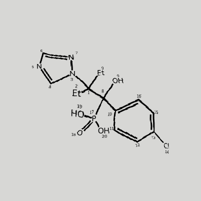 CCC(CC)(n1cncn1)C(O)(c1ccc(Cl)cc1)P(=O)(O)O